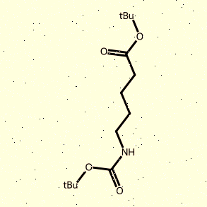 CC(C)(C)OC(=O)CCCCNC(=O)OC(C)(C)C